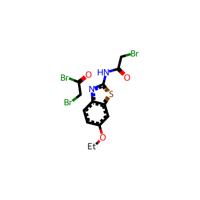 CCOc1ccc2nc(NC(=O)CBr)sc2c1.O=C(Br)CBr